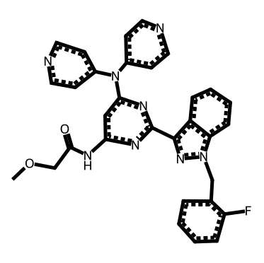 COCC(=O)Nc1cc(N(c2ccncc2)c2ccncc2)nc(-c2nn(Cc3ccccc3F)c3ccccc23)n1